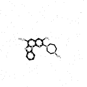 Cc1cc2cc(C(=O)O)c3nc4ccccc4n3c2nc1N1CCCN(C)CC1